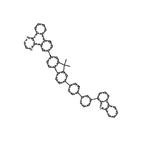 CC1(C)c2cc(-c3ccc(-c4cccc(-c5cccc6c5sc5ccccc56)c4)cc3)ccc2-c2ccc(-c3ccc4c5ccccc5c5nccnc5c4c3)cc21